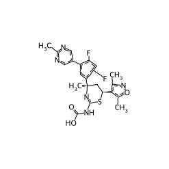 Cc1ncc(-c2cc([C@]3(C)C[C@@H](c4c(C)noc4C)SC(NC(=O)O)=N3)c(F)cc2F)cn1